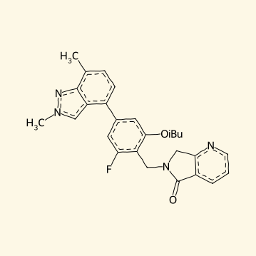 Cc1ccc(-c2cc(F)c(CN3Cc4ncccc4C3=O)c(OCC(C)C)c2)c2cn(C)nc12